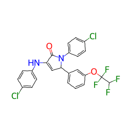 O=C1C(Nc2ccc(Cl)cc2)=CC(c2cccc(OC(F)(F)C(F)F)c2)N1c1ccc(Cl)cc1